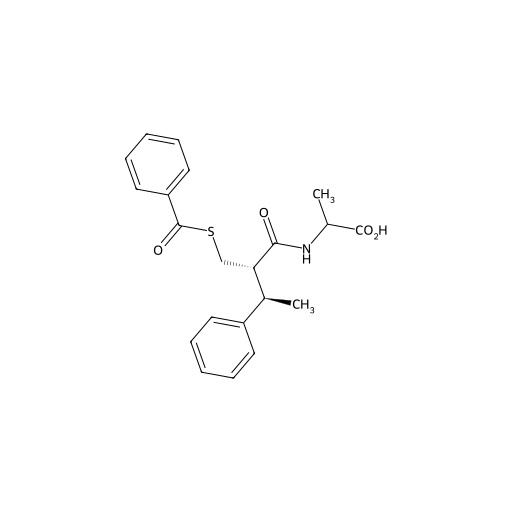 CC(NC(=O)[C@@H](CSC(=O)c1ccccc1)[C@@H](C)c1ccccc1)C(=O)O